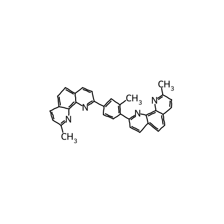 Cc1ccc2ccc3ccc(-c4ccc(-c5ccc6ccc7ccc(C)nc7c6n5)c(C)c4)nc3c2n1